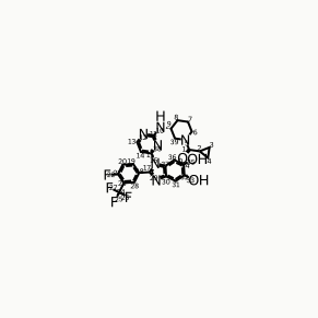 O=C(C1CC1)N1CCC[C@@H](Nc2nccc(-n3c(-c4ccc(F)c(C(F)(F)F)c4)nc4cc(O)c(O)cc43)n2)C1